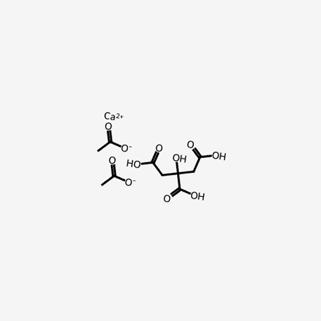 CC(=O)[O-].CC(=O)[O-].O=C(O)CC(O)(CC(=O)O)C(=O)O.[Ca+2]